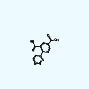 O=C(O)c1ccc(-c2ccnnn2)c(C(=O)O)c1